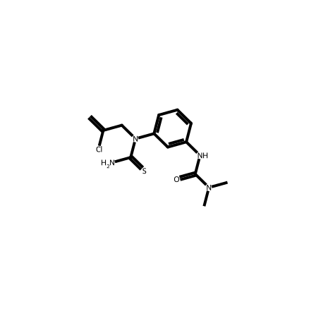 C=C(Cl)CN(C(N)=S)c1cccc(NC(=O)N(C)C)c1